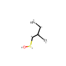 CCCCC(CC)CS[O]